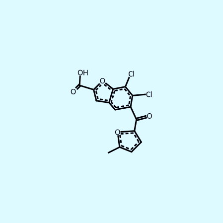 Cc1ccc(C(=O)c2cc3cc(C(=O)O)oc3c(Cl)c2Cl)o1